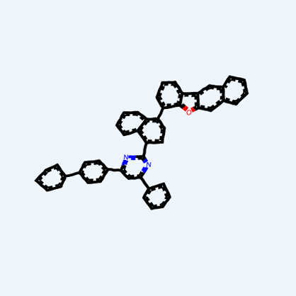 c1ccc(-c2ccc(-c3cc(-c4ccccc4)nc(-c4ccc(-c5cccc6c5oc5cc7ccccc7cc56)c5ccccc45)n3)cc2)cc1